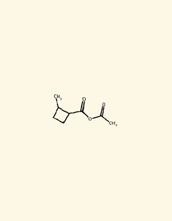 CC(=O)OC(=O)C1CCC1C